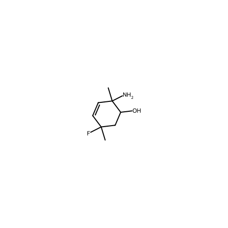 CC1(F)C=CC(C)(N)C(O)C1